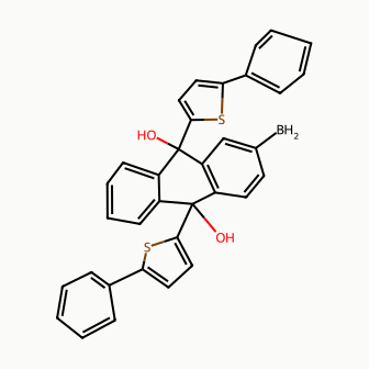 Bc1ccc2c(c1)C(O)(c1ccc(-c3ccccc3)s1)c1ccccc1C2(O)c1ccc(-c2ccccc2)s1